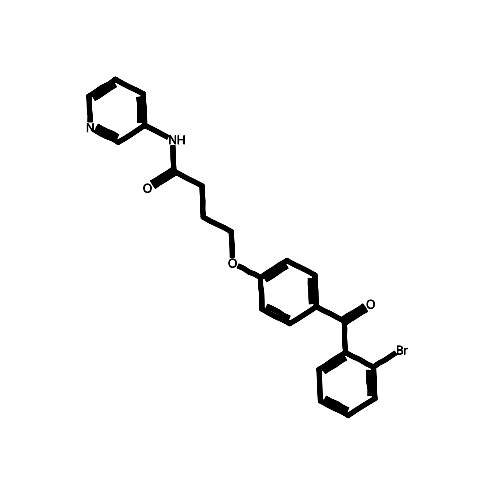 O=C(CCCOc1ccc(C(=O)c2ccccc2Br)cc1)Nc1cccnc1